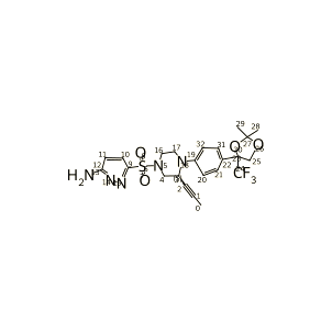 CC#C[C@H]1CN(S(=O)(=O)c2ccc(N)nn2)CCN1c1ccc(C2(C(F)(F)F)COC(C)(C)O2)cc1